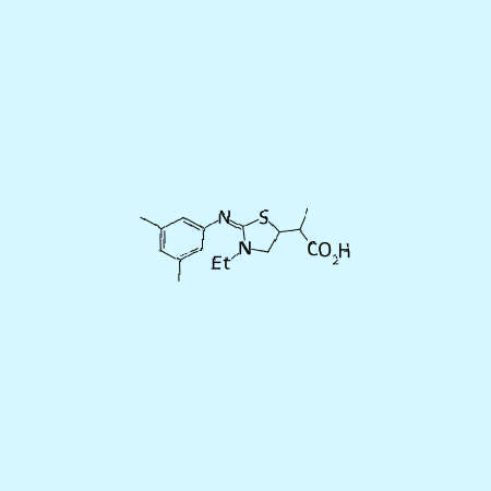 CCN1CC(C(C)C(=O)O)SC1=Nc1cc(C)cc(C)c1